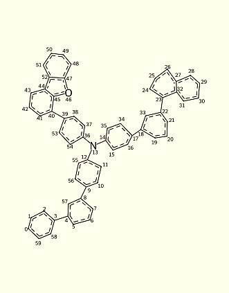 c1ccc(-c2cccc(-c3ccc(N(c4ccc(-c5cccc(-c6cccc7ccccc67)c5)cc4)c4ccc(-c5cccc6c5oc5ccccc56)cc4)cc3)c2)cc1